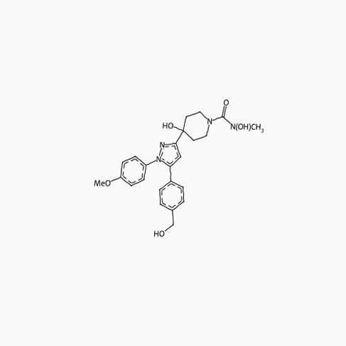 COc1ccc(-n2nc(C3(O)CCN(C(=O)N(C)O)CC3)cc2-c2ccc(CO)cc2)cc1